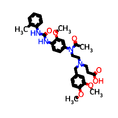 COc1cc(N(CCN(CCC(=O)O)Cc2ccc(OC)c(OC)c2)C(C)=O)ccc1NC(=O)Nc1ccccc1C